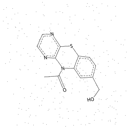 CC(=O)N1c2cc(CO)ccc2Sc2nccnc21